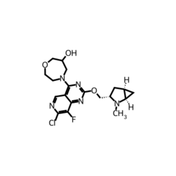 CN1[C@H](COc2nc(N3CCOCC(O)C3)c3cnc(Cl)c(F)c3n2)C[C@H]2C[C@H]21